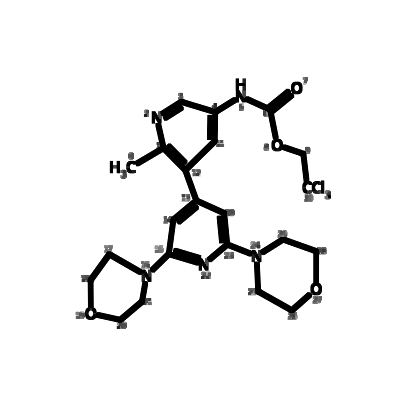 Cc1ncc(NC(=O)OCC(Cl)(Cl)Cl)cc1-c1cc(N2CCOCC2)nc(N2CCOCC2)c1